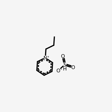 CCC[n+]1ccccc1.O=[SH](=O)[O-]